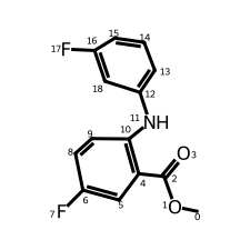 COC(=O)c1cc(F)ccc1Nc1cccc(F)c1